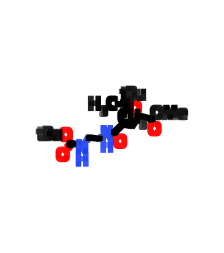 COC(=O)C(CCC(=O)NCCNC(=O)OC(C)(C)C)O[Si](C)(C)C(C)(C)C